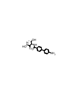 C[C@H](O)[C@@H](NC(=O)c1ccc(-c2ccc(N)cc2)cc1)C(=O)NO